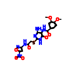 COc1ccc(C(=O)Nc2c(N)nc(SCC(=O)Nc3cc([N+](=O)[O-])on3)[nH]c2=O)cc1OC